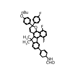 CCCCOc1ccc(C2(c3ccc(F)cc3)C=Cc3c4c(c5c(F)ccc(F)c5c3O2)-c2cc(C3=CCC(NC=O)C=C3)ccc2C4(C)C)cc1